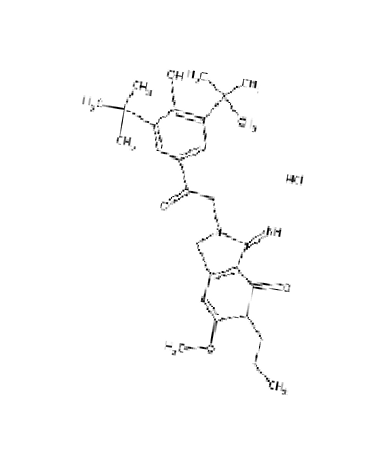 CCCC1C(=O)C2=C(C=C1OC)CN(CC(=O)c1cc(C(C)(C)C)c(O)c(C(C)(C)C)c1)C2=N.Cl